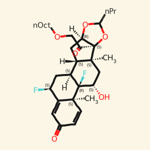 CCCCCCCCOCC(=O)[C@@]12OC(CCC)O[C@@H]1C[C@H]1[C@@H]3C[C@H](F)C4=CC(=O)C=C[C@]4(C)[C@@]3(F)[C@@H](O)C[C@@]12C